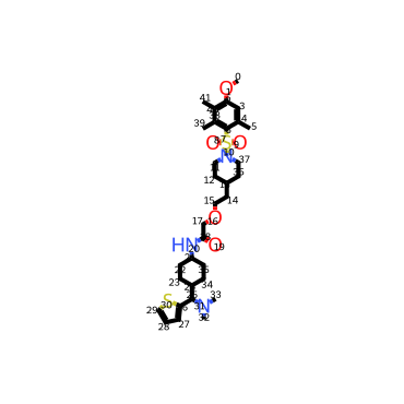 COc1cc(C)c(S(=O)(=O)N2CCC(CCOCC(=O)NC3CCC(C(c4cccs4)N(C)C)CC3)CC2)c(C)c1C